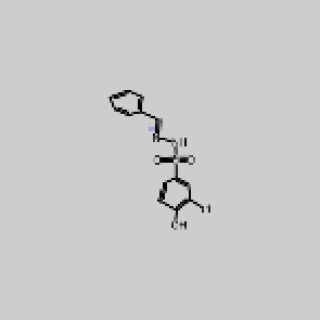 O=S(=O)(N/N=C/c1ccccc1)c1ccc(O)c(Cl)c1